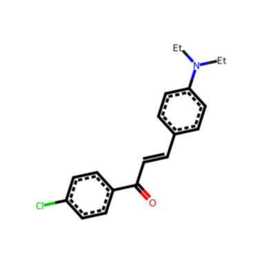 CCN(CC)c1ccc(C=CC(=O)c2ccc(Cl)cc2)cc1